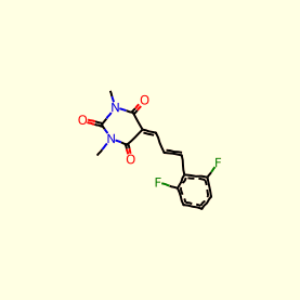 CN1C(=O)C(=C/C=C/c2c(F)cccc2F)C(=O)N(C)C1=O